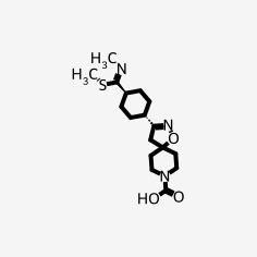 CN=C(SC)[C@H]1CC[C@H](C2=NOC3(CCN(C(=O)O)CC3)C2)CC1